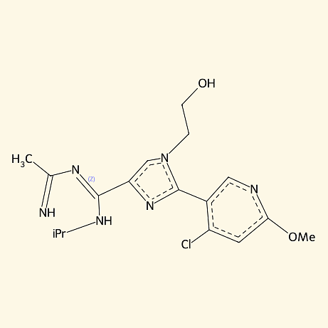 COc1cc(Cl)c(-c2nc(/C(=N/C(C)=N)NC(C)C)cn2CCO)cn1